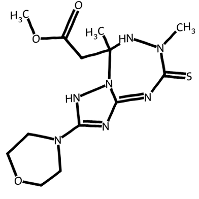 COC(=O)CC1(C)NN(C)C(=S)N=C2N=C(N3CCOCC3)NN21